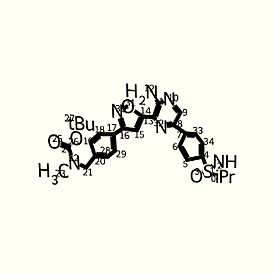 CC(C)S(=N)(=O)c1ccc(-c2cnc(N)c(-c3cc(-c4ccc(CN(C)C(=O)OC(C)(C)C)cc4)no3)n2)cc1